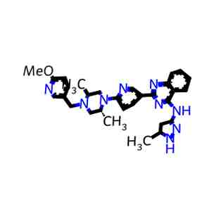 COc1ccc(CN2C[C@@H](C)N(c3ccc(-c4nc(NC5=NNC(C)C5)c5ccccc5n4)cn3)CC2C)cn1